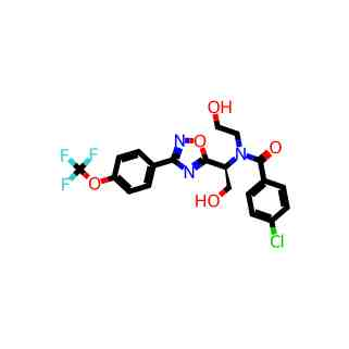 O=C(c1ccc(Cl)cc1)N(CCO)[C@@H](CO)c1nc(-c2ccc(OC(F)(F)F)cc2)no1